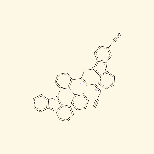 C#C/C=C\C=C(/Cn1c2ccccc2c2cc(C#N)ccc21)c1cccc(-n2c3ccccc3c3ccccc32)c1-c1ccccc1